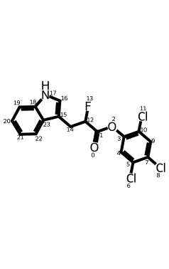 O=C(Oc1cc(Cl)c(Cl)cc1Cl)C(F)Cc1c[nH]c2ccccc12